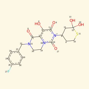 O=C1c2c(O)c(=O)n(C3CCSC(O)(O)C3)c(=O)n2CCN1Cc1ccc(F)cc1